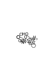 CC(C(=O)NC(CC(=O)O)C(=O)Cn1nnnc1Cc1c(Cl)cccc1Cl)N1CCCCCC1=O